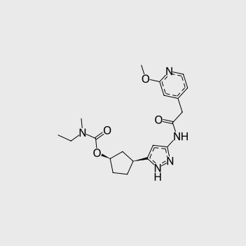 CCN(C)C(=O)O[C@@H]1CC[C@H](c2cc(NC(=O)Cc3ccnc(OC)c3)n[nH]2)C1